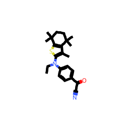 CCN(c1ccc(C(=O)C#N)cc1)c1sc2c(c1C)C(C)(C)CCC2(C)C